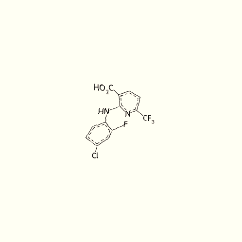 O=C(O)c1ccc(C(F)(F)F)nc1Nc1ccc(Cl)cc1F